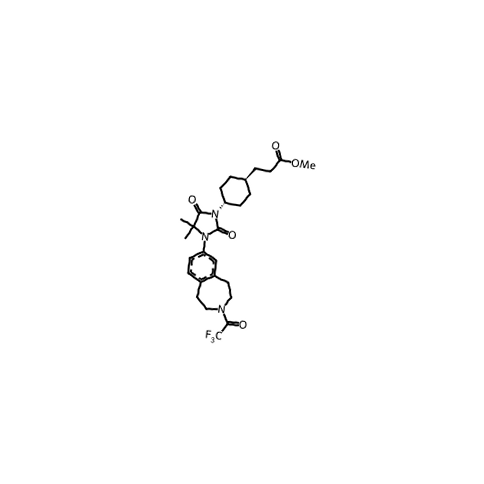 COC(=O)CC[C@H]1CC[C@H](N2C(=O)N(c3ccc4c(c3)CCN(C(=O)C(F)(F)F)CC4)C(C)(C)C2=O)CC1